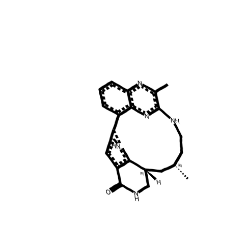 Cc1nc2cccc3c2nc1NCC[C@H](C)C[C@@H]1CNC(=O)c2cc-3[nH]c21